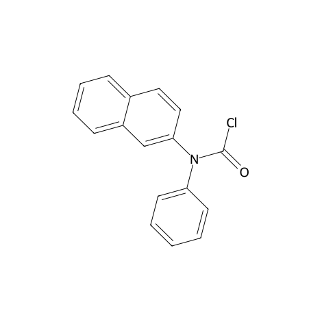 O=C(Cl)N(c1ccccc1)c1ccc2ccccc2c1